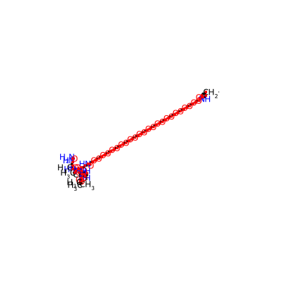 [CH2]c1ccc(NC(=O)OCCOCCOCCOCCOCCOCCOCCOCCOCCOCCOCCOCCOCCOCCOCCOCCOCCOCCOCCOCCOCCOCCOCCOCCC(=O)NCCCC[C@H](NC(=O)[C@H](CNC(=O)OC(C)(C)C)N2C(=O)C=CC2=O)C(=O)N[C@H](C(=O)N[C@@H](C)CCCNC(N)=O)C(C)C)cc1